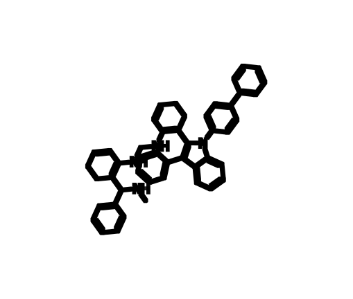 CNC(C1=C(NCNC2=C(c3c(-c4ccccc4)c4ccccc4n3-c3ccc(-c4ccccc4)cc3)CCC=C2)C=CCC1)c1ccccc1